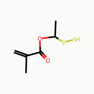 C=C(C)C(=O)OC(C)SS